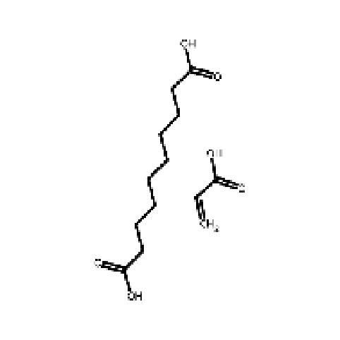 C=CC(=O)O.O=C(O)CCCCCCCCC(=O)O